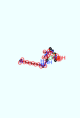 COCCN(CCN(CCOC)C(=O)Oc1cc2c(c3ccccc13)CCN2C(=O)c1ccc(C(=O)N2C[C@@H](CCl)c3c2cc(OP(=O)(O)O)c2ccccc32)s1)C(=O)OCc1ccc(NC(=O)CNC(=O)C(NC(=O)CCOCCOCCOCCOCCOCCOCCN2C(=O)C=CC2=O)C(C)C)cc1